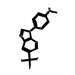 CNc1ccc(-n2cnc3cc(C(F)(F)F)cnc32)cc1